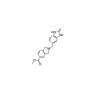 C=C1Nc2ccc(CN3Cc4ccc(C(=O)OC)cc4C3)cc2N1